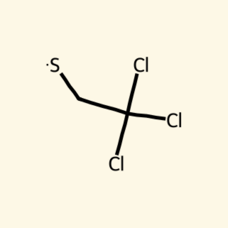 [S]CC(Cl)(Cl)Cl